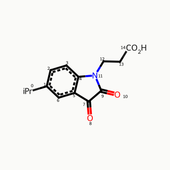 CC(C)c1ccc2c(c1)C(=O)C(=O)N2CCC(=O)O